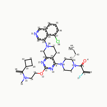 C=C(F)C(=O)N1CCN(c2nc(OCCN(C)C(=C)C3CCC3)nc3c2CCN(c2cncc4cccc(Cl)c24)C3)C[C@@H]1CC#N